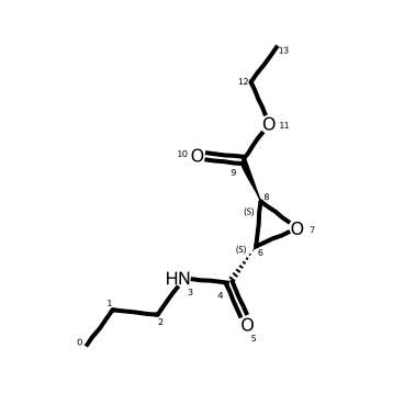 CCCNC(=O)[C@H]1O[C@@H]1C(=O)OCC